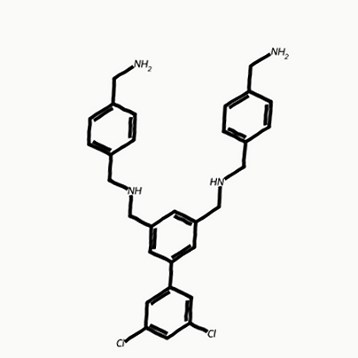 NCc1ccc(CNCc2cc(CNCc3ccc(CN)cc3)cc(-c3cc(Cl)cc(Cl)c3)c2)cc1